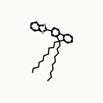 CCCCCCCCCCC1(CCCCCCCCCC)c2ccccc2-c2ccc(-c3nc4ccccc4s3)cc21